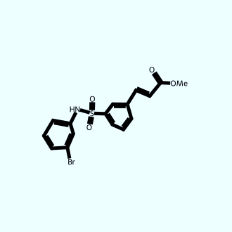 COC(=O)C=Cc1cccc(S(=O)(=O)Nc2cccc(Br)c2)c1